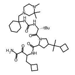 CN1CCN(CC2(NC(=O)N[C@@H](C(=O)N3CC(C(C)(C)C4CCC4)CC3C(=O)NC(CC3CCC3)C(=O)C(N)=O)C(C)(C)C)CCCCC2)CC1(C)C